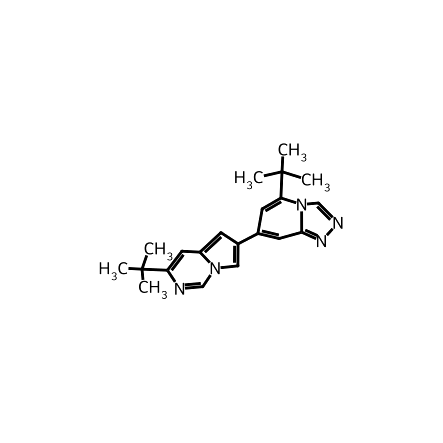 CC(C)(C)c1cc2cc(-c3cc(C(C)(C)C)n4cnnc4c3)cn2cn1